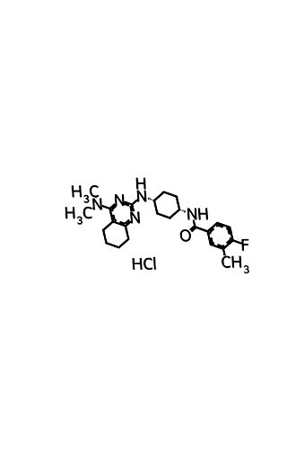 Cc1cc(C(=O)N[C@H]2CC[C@@H](Nc3nc4c(c(N(C)C)n3)CCCC4)CC2)ccc1F.Cl